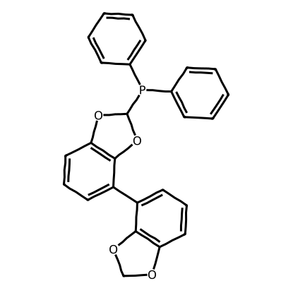 c1ccc(P(c2ccccc2)C2Oc3cccc(-c4cccc5c4OCO5)c3O2)cc1